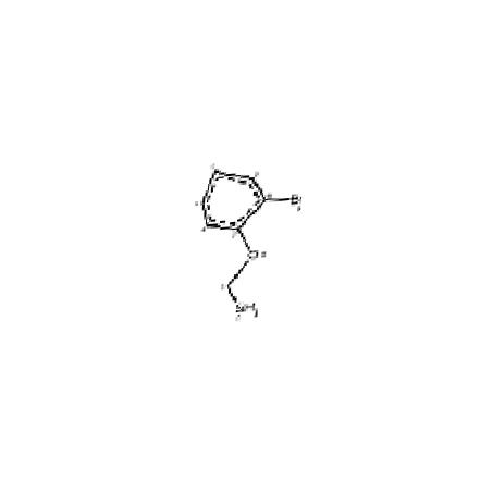 [SiH3]COc1ccccc1Br